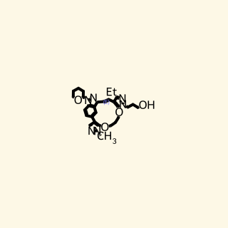 CCc1nn(CCCO)c2c1/C=C/c1nn(C3CCCCO3)c3ccc(cc13)-c1cnn(C)c1OCCCO2